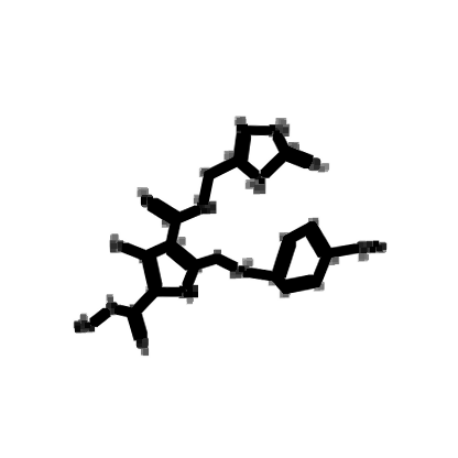 CCc1c(C(=O)OC(C)(C)C)[nH]c(CNc2ccc(OC)cc2)c1C(=O)NCc1n[nH]c(=O)[nH]1